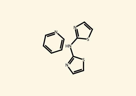 c1ccncc1.c1csc(Nc2nccs2)n1